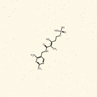 C/C(C(=O)NCc1cnc(C)nc1N)=C(/S)CCOP(=O)(O)O